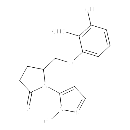 CC(C)n1nccc1N1C(=O)CCC1COc1cccc(O)c1C=O